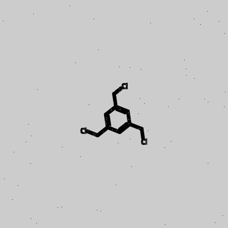 ClCc1cc(CCl)cc(CCl)c1